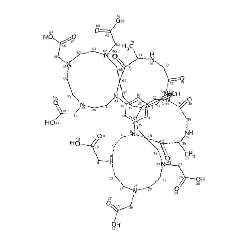 C#Cc1cc(N2CCN(CC(=O)O)CCN(CC(=O)O)CCN(CC(=O)O)CC23CCCCNC(=O)CNC(C)C3=O)cc(N2CCN(CC(=O)O)CCN(CC(=O)O)CCN(CC(=O)O)CC23CCCCNC(=O)CNC(C)C3=O)c1